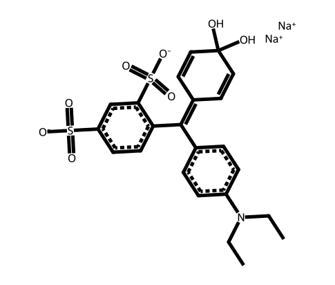 CCN(CC)c1ccc(C(=C2C=CC(O)(O)C=C2)c2ccc(S(=O)(=O)[O-])cc2S(=O)(=O)[O-])cc1.[Na+].[Na+]